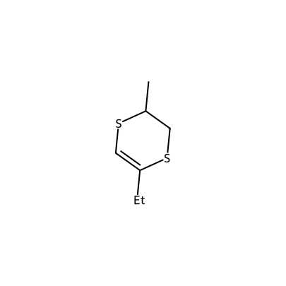 CCC1=CSC(C)CS1